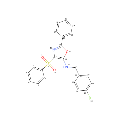 O=S(=O)(c1ccccc1)c1nc(-c2ccccc2)oc1NCc1ccc(F)cc1